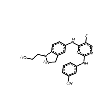 OCCN1NCc2cc(Nc3nc(Nc4cccc(O)c4)ncc3F)ccc21